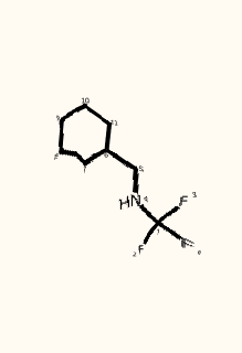 FC(F)(F)NCC1CCCCC1